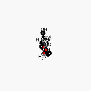 COC(=O)C12CC3CC(CC(N)(C3)C1C(=O)[C@H](Cc1ccccc1)NC(=O)CNC(=O)[C@@H](CCSC)N(C(=O)OC(C)(C)C)C(=O)C(N)C(C)(C)c1ccc(O)cc1)C2